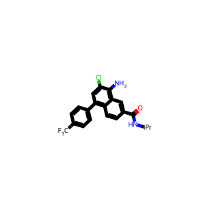 CC(C)NC(=O)c1ccc2c(-c3ccc(C(F)(F)F)cc3)cc(Cl)c(N)c2c1